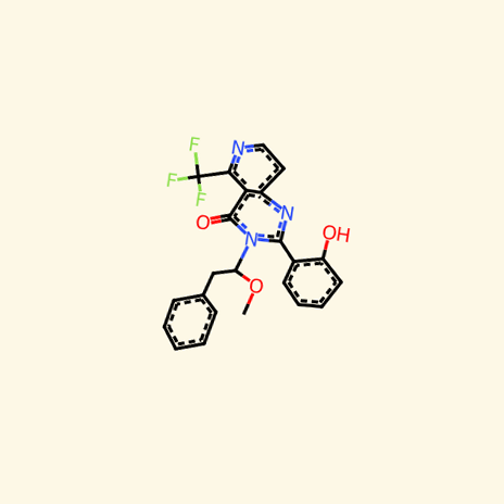 COC(Cc1ccccc1)n1c(-c2ccccc2O)nc2ccnc(C(F)(F)F)c2c1=O